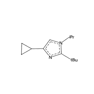 CC(C)n1cc(C2CC2)nc1C(C)(C)C